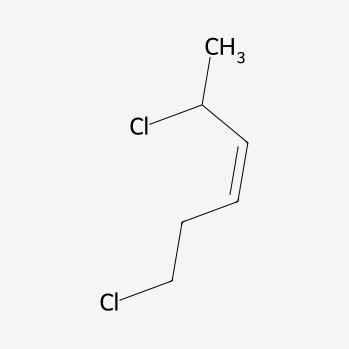 CC(Cl)/C=C\CCCl